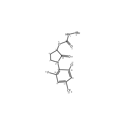 CC(C)(C)NC(=O)OC1CCN(c2c(F)cc(C(F)(F)F)cc2Cl)C1=O